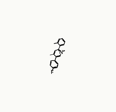 Cc1cc(-c2ccccc2C)[n+](C)cc1-c1ccc(F)cc1